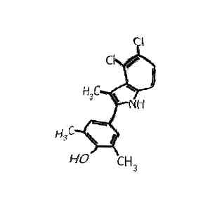 Cc1cc(-c2[nH]c3ccc(Cl)c(Cl)c3c2C)cc(C)c1O